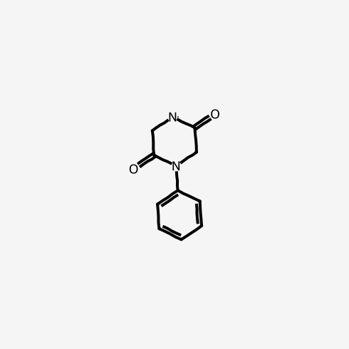 O=C1CN(c2ccccc2)C(=O)C[N]1